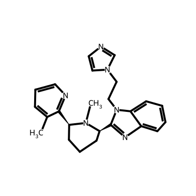 Cc1cccnc1[C@@H]1CCC[C@H](c2nc3ccccc3n2CCn2ccnc2)N1C